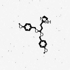 COc1ccc(COC(CCc2ncc[nH]2)OCc2ccc(OC)cc2)cc1